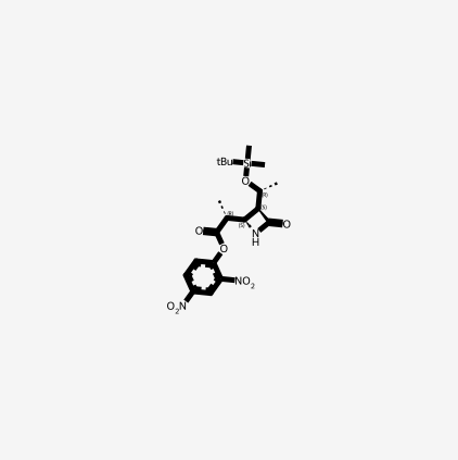 C[C@@H](O[Si](C)(C)C(C)(C)C)[C@H]1C(=O)N[C@@H]1[C@@H](C)C(=O)Oc1ccc([N+](=O)[O-])cc1[N+](=O)[O-]